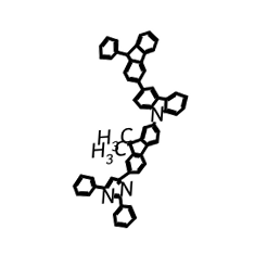 CC1(C)c2cc(-c3cc(-c4ccccc4)nc(-c4ccccc4)n3)ccc2-c2ccc(-n3c4ccccc4c4cc(-c5ccc6c(c5)-c5ccccc5C6c5ccccc5)ccc43)cc21